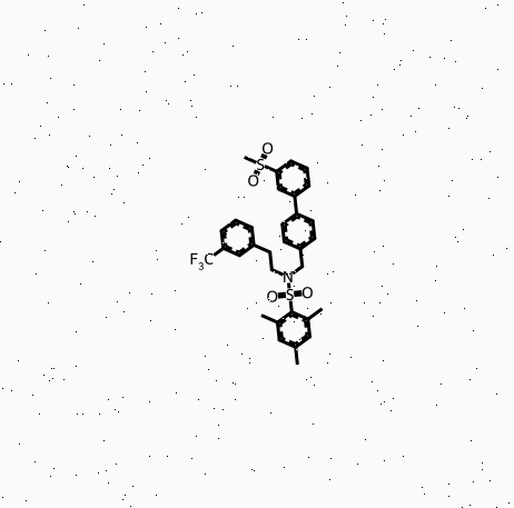 Cc1cc(C)c(S(=O)(=O)N(CCc2cccc(C(F)(F)F)c2)Cc2ccc(-c3cccc(S(C)(=O)=O)c3)cc2)c(C)c1